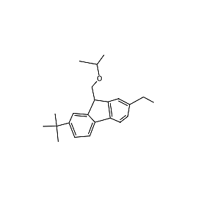 CCc1ccc2c(c1)C(COC(C)C)c1cc(C(C)(C)C)ccc1-2